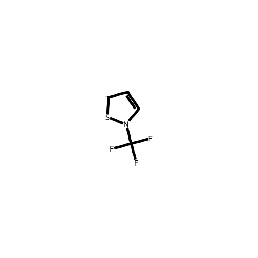 FC(F)(F)N1C=C[C]S1